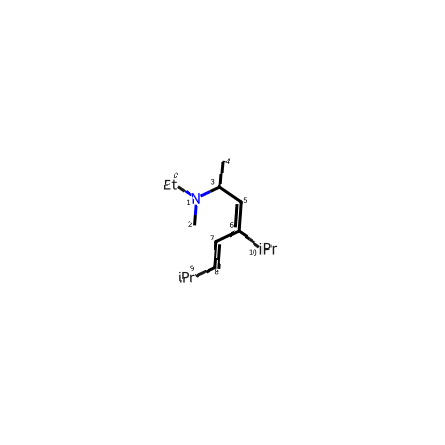 CCN(C)C(C)/C=C(\C=C\C(C)C)C(C)C